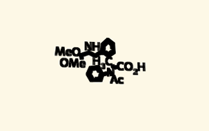 CC(=O)N(c1ccccc1)C(C)C(=O)O.COC(OC)[C@H](N)Cc1ccccc1